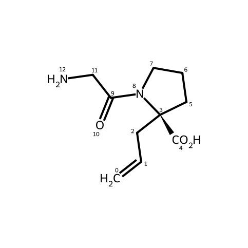 C=CC[C@@]1(C(=O)O)CCCN1C(=O)CN